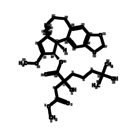 COC(=O)CC(O)(CCCC(C)(C)O)C(=O)O[C@@H]1C(OC)=C[C@]23CCCN2CCc2cc4c(cc2[C@@H]13)OCO4